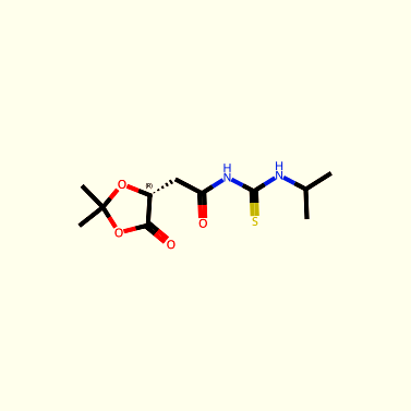 CC(C)NC(=S)NC(=O)C[C@H]1OC(C)(C)OC1=O